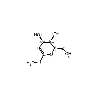 CCC1=C[C@@H](O)[C@@H](O)[C@@H](CO)O1